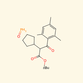 CCCCOC(=O)C(C(=O)c1c(C)cc(C)cc1C)C1CCCC1.O=[PH3]